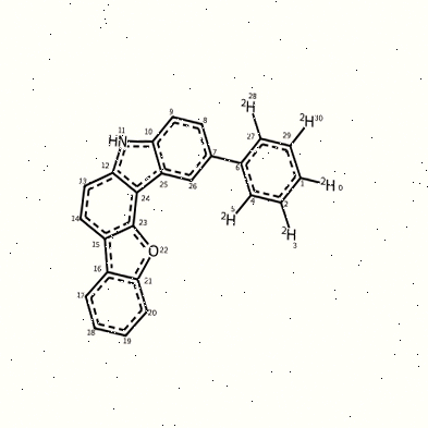 [2H]c1c([2H])c([2H])c(-c2ccc3[nH]c4ccc5c6ccccc6oc5c4c3c2)c([2H])c1[2H]